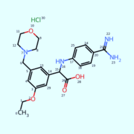 CCOc1cc(CN2CCOCC2)cc(C(Nc2ccc(C(=N)N)cc2)C(=O)O)c1.Cl